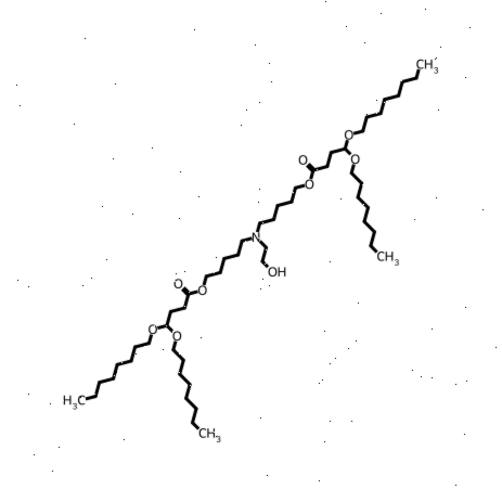 CCCCCCCCOC(CCC(=O)OCCCCCN(CCO)CCCCCOC(=O)CCC(OCCCCCCCC)OCCCCCCCC)OCCCCCCCC